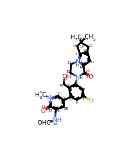 Cn1cc(-c2cc(F)cc(N3CCn4c(cc5c4CC(C)(C)C5)C3=O)c2CO)cc(NC=O)c1=O